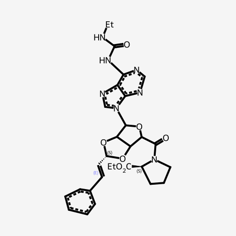 CCNC(=O)Nc1ncnc2c1ncn2C1OC(C(=O)N2CCC[C@H]2C(=O)OCC)C2O[C@H](/C=C/c3ccccc3)OC21